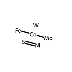 [Fe][Co][Mo].[S]=[Ni].[W]